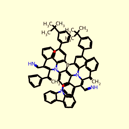 C=C(/C(=C(\C=N)c1ccccc1)N1c2ccc(-c3cccc(C(C)(C)C)c3)cc2B2c3cc(-c4cccc(C(C)(C)C)c4)ccc3N(/C(C(=C)c3ccccc3)=C(/C=N)c3ccccc3)c3cc(-n4c5ccccc5c5ccccc54)cc1c32)c1ccccc1